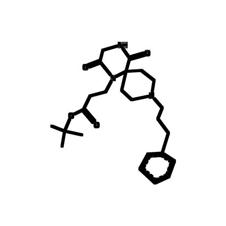 CC(C)(C)OC(=O)CCN1C(=O)CNC(=O)C12CCN(CCCc1ccccc1)CC2